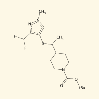 CC(Sc1cn(C)nc1C(F)F)C1CCN(C(=O)OC(C)(C)C)CC1